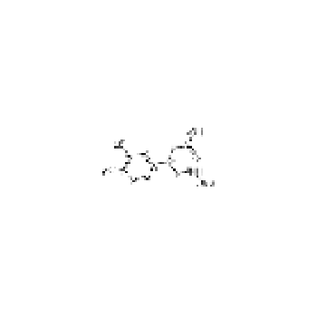 CC(C)(C)NCC(CC(O)=S)c1ccc(Cl)c(Cl)c1